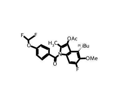 CC[C@@H](C)c1c(OC)c(F)cc2c1c(OC(C)=O)c(C)n2C(=O)c1ccc(OC(F)F)cc1